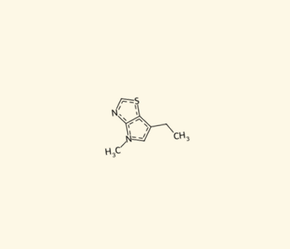 CCc1cn(C)c2ncsc12